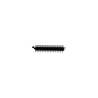 CCCC(F)(F)C(F)(F)C(F)(F)C(F)(F)C(F)(F)C(F)(F)C(F)(F)C(F)(F)C(F)(F)C(F)(F)C(F)(F)C(F)(F)C(F)(F)C(F)(F)C(F)(F)C(F)(F)C(F)(F)F